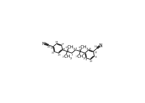 CC(C)(CCC(C)(C)c1cccc(C#N)c1)c1ccc(C#N)cc1